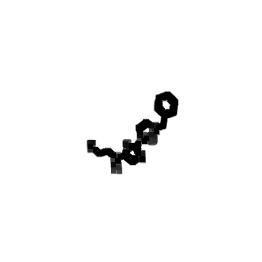 FCCNc1cnc(N2C=CN(Cc3ccccc3)O2)s1